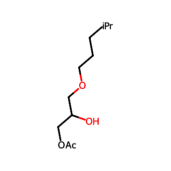 CC(=O)OCC(O)COCCCC(C)C